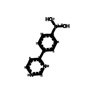 OB(O)c1ccc(-c2ccncn2)cc1